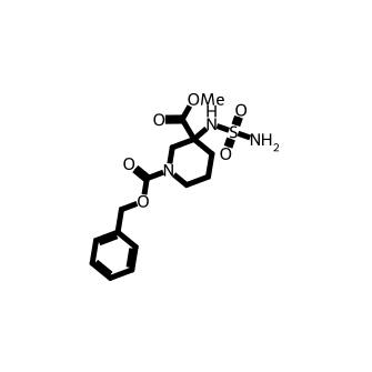 COC(=O)C1(NS(N)(=O)=O)CCCN(C(=O)OCc2ccccc2)C1